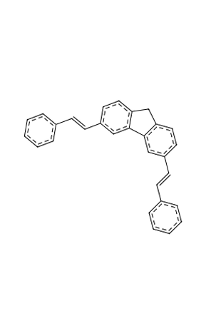 C(=Cc1ccc2c(c1)-c1cc(C=Cc3ccccc3)ccc1C2)c1ccccc1